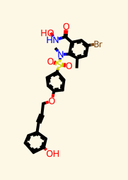 Cc1cc(Br)cc(C(=O)NO)c1N(C)S(=O)(=O)c1ccc(OCC#Cc2cccc(O)c2)cc1